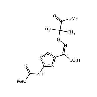 COC(=O)Nc1nc(/C(=N\OC(C)(C)C(=O)OC)C(=O)O)cs1